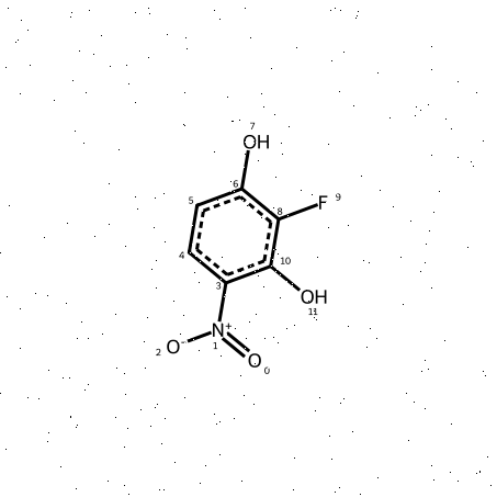 O=[N+]([O-])c1ccc(O)c(F)c1O